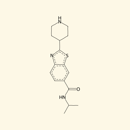 CC(C)NC(=O)c1ccc2nc(C3CCNCC3)sc2c1